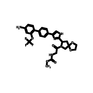 COC(=O)NCC(=O)N1CC2(CC1c1nc(-c3ccc(-c4ccc(N)cc4OC(F)(F)F)cc3)c[nH]1)OCCO2